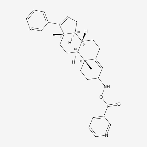 C[C@]12CCC(NOC(=O)c3cccnc3)C=C1CC[C@@H]1[C@@H]2CC[C@]2(C)C(c3cccnc3)=CC[C@@H]12